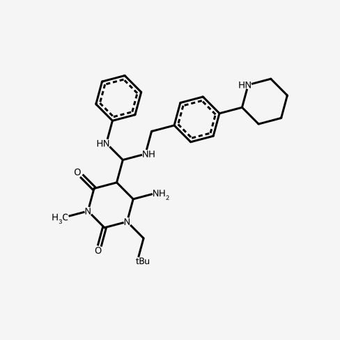 CN1C(=O)C(C(NCc2ccc(C3CCCCN3)cc2)Nc2ccccc2)C(N)N(CC(C)(C)C)C1=O